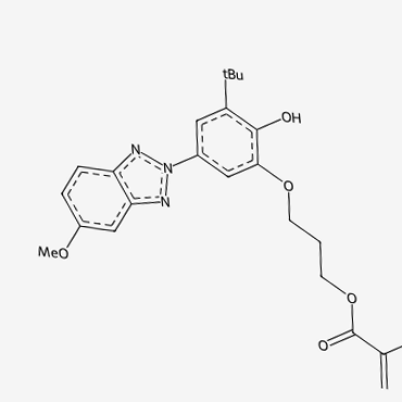 C=C(C)C(=O)OCCCOc1cc(-n2nc3ccc(OC)cc3n2)cc(C(C)(C)C)c1O